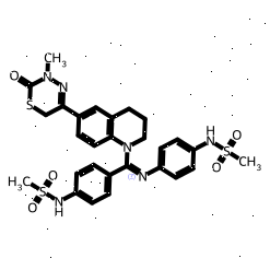 CN1N=C(c2ccc3c(c2)CCCN3/C(=N\c2ccc(NS(C)(=O)=O)cc2)c2ccc(NS(C)(=O)=O)cc2)CSC1=O